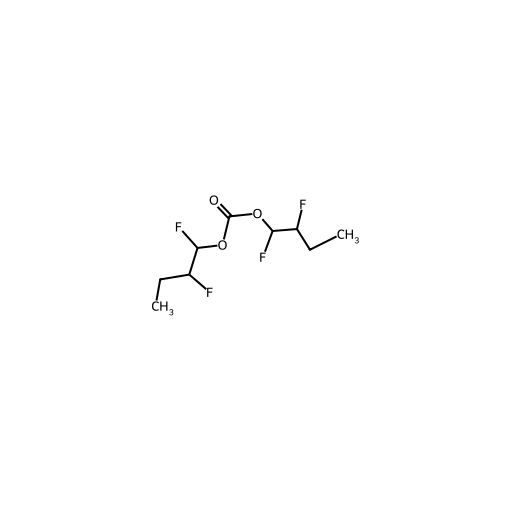 CCC(F)C(F)OC(=O)OC(F)C(F)CC